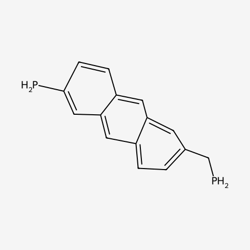 PCc1ccc2cc3cc(P)ccc3cc2c1